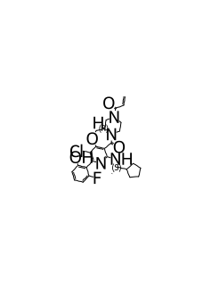 C=CC(=O)N1CCN2C(=O)c3c(N[C@@H](C)C4CCCC4)nc(-c4c(O)cccc4F)c(Cl)c3OC[C@H]2C1